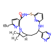 CC(C)(C)c1ccc2c(n1)N1C[C@@H](CCC(c3cncnc3)Nc3cccc(n3)SNC2=O)CC1(C)C